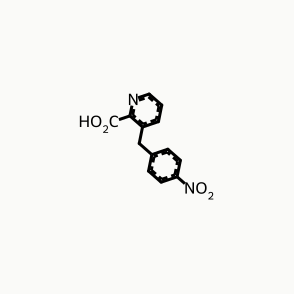 O=C(O)c1ncccc1Cc1ccc([N+](=O)[O-])cc1